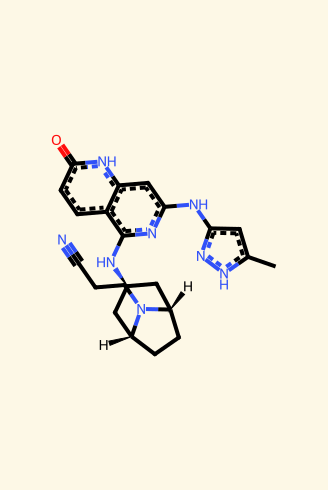 Cc1cc(Nc2cc3[nH]c(=O)ccc3c(N[C@@H]3C[C@H]4CC[C@@H](C3)N4CCC#N)n2)n[nH]1